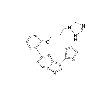 C1=NCN(CCCOc2ccccc2-c2ccn3ncc(-c4cccs4)c3n2)N1